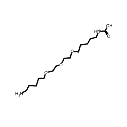 NCCCCCOCCOCCOCCCCCNC(=O)O